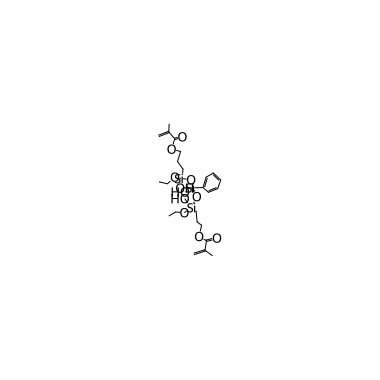 C=C(C)C(=O)OCCC[Si](O)(OCC)O[Si](O)(O[Si](O)(CCCOC(=O)C(=C)C)OCC)c1ccccc1